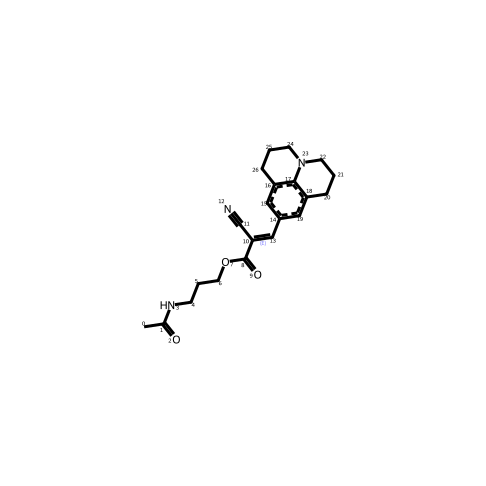 CC(=O)NCCCOC(=O)/C(C#N)=C/c1cc2c3c(c1)CCCN3CCC2